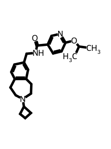 CC(C)Oc1ccc(C(=O)NCc2ccc3c(c2)CCN(C2CCC2)CC3)cn1